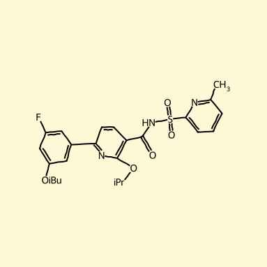 Cc1cccc(S(=O)(=O)NC(=O)c2ccc(-c3cc(F)cc(OCC(C)C)c3)nc2OC(C)C)n1